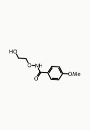 COc1ccc(C(=O)NOCCO)cc1